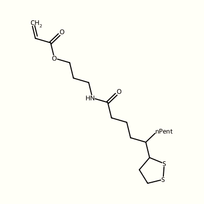 C=CC(=O)OCCCNC(=O)CCCC(CCCCC)C1CCSS1